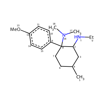 CCNC1CC(C)CCC1(c1ccc(OC)cc1)N(C)C